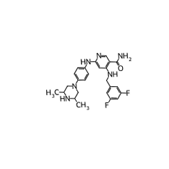 CC1CN(c2ccc(Nc3cc(NCc4cc(F)cc(F)c4)c(C(N)=O)cn3)cc2)CC(C)N1